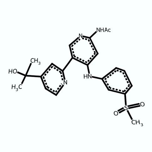 CC(=O)Nc1cc(Nc2cccc(S(C)(=O)=O)c2)c(-c2cc(C(C)(C)O)ccn2)cn1